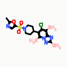 Bc1nc2c(B)c(Cl)c(C3CCN(S(=O)(=O)c4cnc(C)o4)CC3)c(B)n2n1